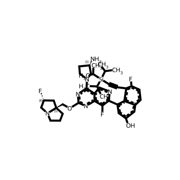 CC(C)[Si](C#Cc1c(F)ccc2cc(O)cc(-c3ncc4c(N5CC[C@H](N)C5)nc(OC[C@@]56CCCN5C[C@H](F)C6)nc4c3F)c12)(C(C)C)C(C)C